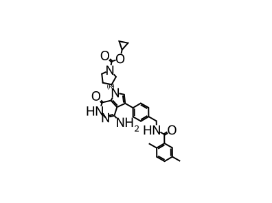 Cc1ccc(C)c(C(=O)NCc2ccc(-c3cn([C@@H]4CCN(C(=O)OC5CC5)C4)c4c(=O)[nH]nc(N)c34)cc2)c1